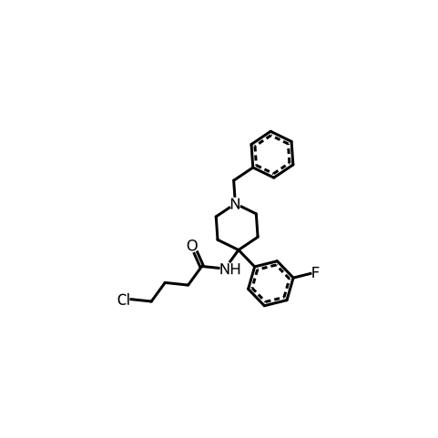 O=C(CCCCl)NC1(c2cccc(F)c2)CCN(Cc2ccccc2)CC1